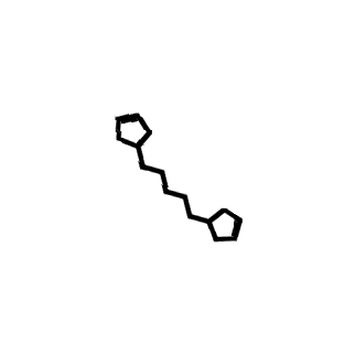 C1=CCC(CCCCCC2CC=CC2)C1